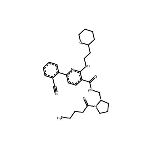 N#Cc1ccccc1-c1ccc(C(=O)NC[C@H]2CCCN2C(=O)CCCN)c(NCCC2CCCCO2)n1